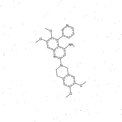 COc1cc2c(cc1OC)CN(c1cc(N)c3c(-c4cccnc4)c(OC)c(OC)cc3n1)CC2